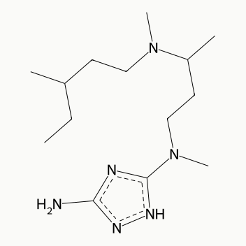 CCC(C)CCN(C)C(C)CCN(C)c1nc(N)n[nH]1